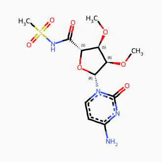 CO[C@@H]1[C@H](OC)[C@@H](C(=O)NS(C)(=O)=O)O[C@H]1n1ccc(N)nc1=O